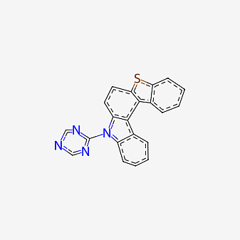 c1ccc2c(c1)sc1ccc3c(c4ccccc4n3-c3ncncn3)c12